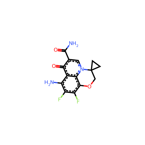 NC(=O)c1cn2c3c(c(F)c(F)c(N)c3c1=O)OCC21CC1